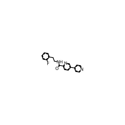 O=C(NCCc1ccccc1F)c1ccc(-c2ccncc2)cn1